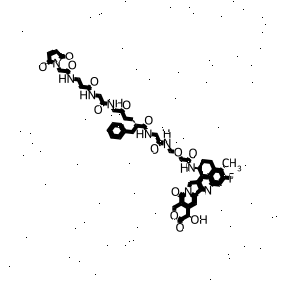 Cc1c(F)cc2nc3c(c4c2c1CC[C@@H]4NC(=O)COCNC(=O)CNC(=O)[C@@H](CCC(=O)CNC(=O)CNC(=O)CCNC(=O)CN1C(=O)C=CC1=O)Cc1ccccc1)Cn1c-3cc2c(c1=O)COC(=O)[C@H]2O